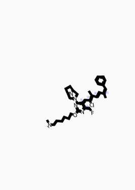 CC(=C/c1ccccc1)/C=C/C(C)=C(Cl)/C=c1/c(N2CC3CCC(C2)N3)nc(OCCCCCCN(C)C)n/c1=C\F